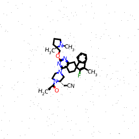 C=CC(=O)N1CCN(c2nc(OC[C@]3(C)CCCN3C)nc3c2CCC2(C3)C(F)=C(C)c3ccccc32)C[C@@H]1CC#N